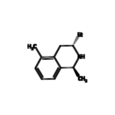 CC[C@H]1Cc2c(C)cccc2[C@H](C)N1